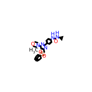 C[C@H]1COCCN1c1cc(CS(=O)(=O)C23CC4CC(C2)C(C4)C3)nc(-c2ccc(NC(=O)NC3CC3)cc2)n1